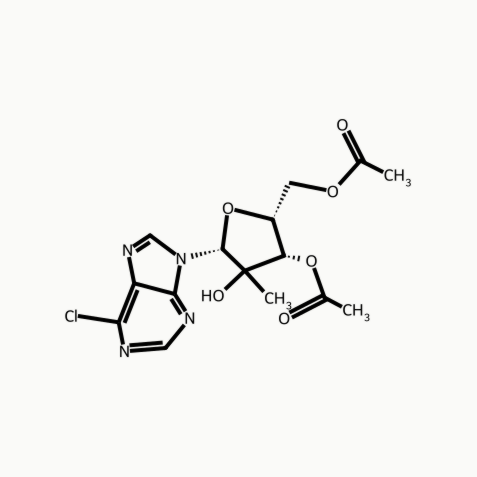 CC(=O)OC[C@H]1O[C@@H](n2cnc3c(Cl)ncnc32)C(C)(O)[C@H]1OC(C)=O